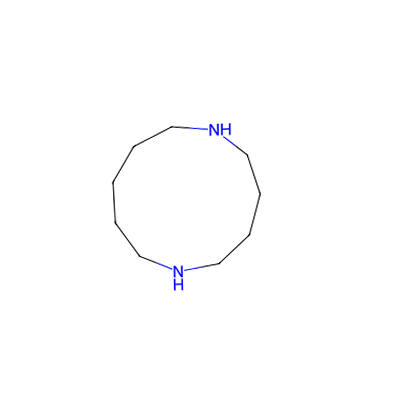 C1CCNCCCCNCC1